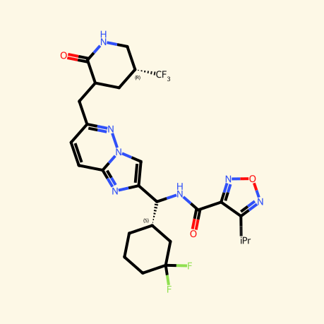 CC(C)c1nonc1C(=O)NC(c1cn2nc(CC3C[C@@H](C(F)(F)F)CNC3=O)ccc2n1)[C@H]1CCCC(F)(F)C1